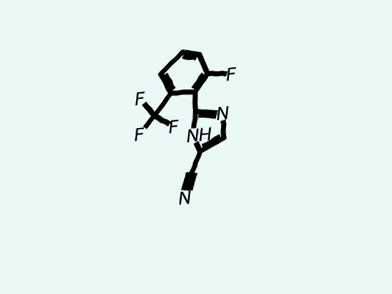 N#Cc1cnc(-c2c(F)cccc2C(F)(F)F)[nH]1